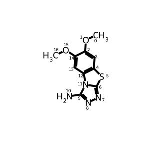 COc1cc2sc3nnc(N)n3c2cc1OC